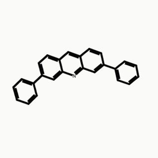 c1ccc(-c2ccc3cc4ccc(-c5ccccc5)cc4nc3c2)cc1